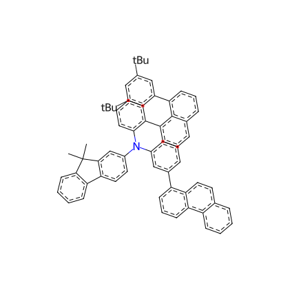 CC(C)(C)c1cc(-c2cccc3cccc(-c4ccccc4N(c4cccc(-c5cccc6c5ccc5ccccc56)c4)c4ccc5c(c4)C(C)(C)c4ccccc4-5)c23)cc(C(C)(C)C)c1